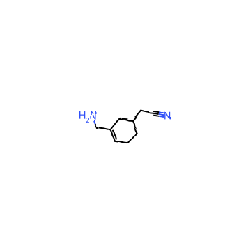 N#CCC1CCC=C(CN)C1